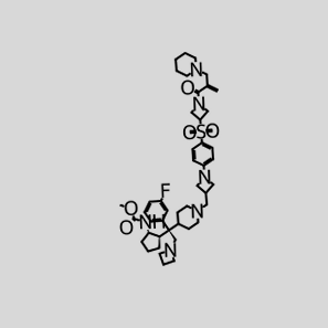 C=C(CN1CCCCC1)C(=O)N1CC(S(=O)(=O)c2ccc(N3CC(CN4CCC([C@@](CN5CCC5)(c5cccc(F)c5)[C@H]5CCC[C@@H]5NC(=O)OC)CC4)C3)cc2)C1